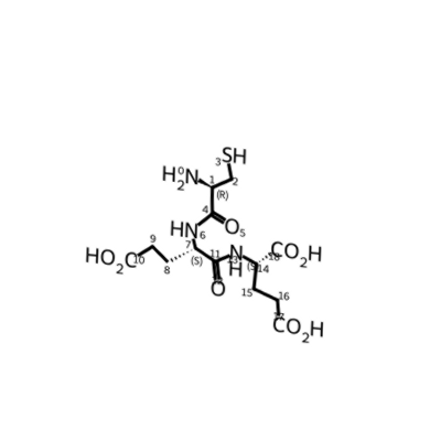 N[C@@H](CS)C(=O)N[C@@H](CCC(=O)O)C(=O)N[C@@H](CCC(=O)O)C(=O)O